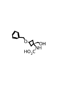 O=C(O)N[C@]1(CO)C[C@H](OCc2ccccc2)C1